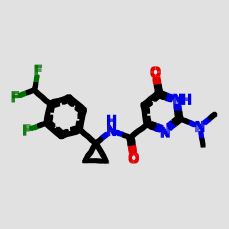 CN(C)c1nc(C(=O)NC2(c3ccc(C(F)F)c(F)c3)CC2)cc(=O)[nH]1